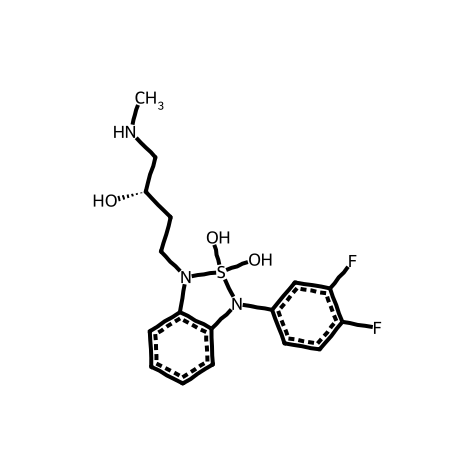 CNC[C@@H](O)CCN1c2ccccc2N(c2ccc(F)c(F)c2)S1(O)O